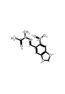 CN(N=Cc1cc2c(cc1[N+](=O)[O-])OCO2)C(N)=O